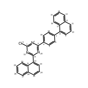 Clc1nc(-c2ccc(-c3cccc4ccccc34)cc2)nc(-c2cccc3ccccc23)n1